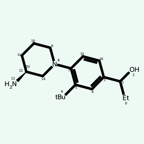 CCC(O)c1[c]c(C(C)(C)C)c(N2CCC[C@H](N)C2)cc1